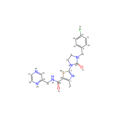 Cc1nc(N2CCN(Cc3ccc(F)cc3)C2=O)sc1C(=O)NCc1cnccn1